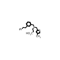 Cc1csc(CN(CCC(=O)O)Cc2cccc(CCC(C)C)c2)c1